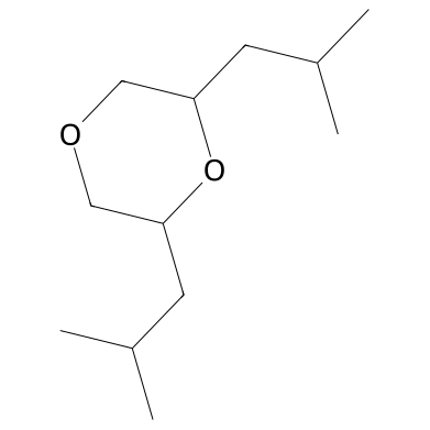 CC(C)CC1COCC(CC(C)C)O1